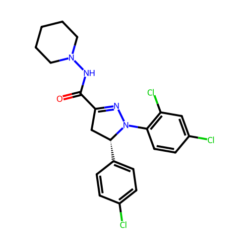 O=C(NN1CCCCC1)C1=NN(c2ccc(Cl)cc2Cl)[C@H](c2ccc(Cl)cc2)C1